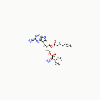 CCCCCC(=O)OCC(CCOC(=O)[C@@H](N)C(C)C)Cn1cnc2cnc(N)nc21